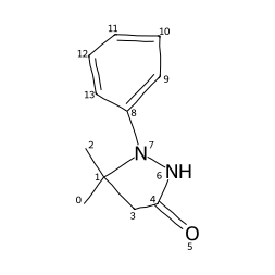 CC1(C)CC(=O)NN1c1ccccc1